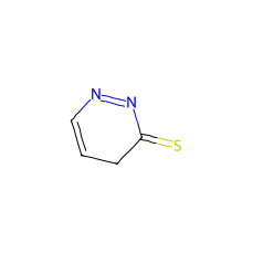 S=C1CC=CN=N1